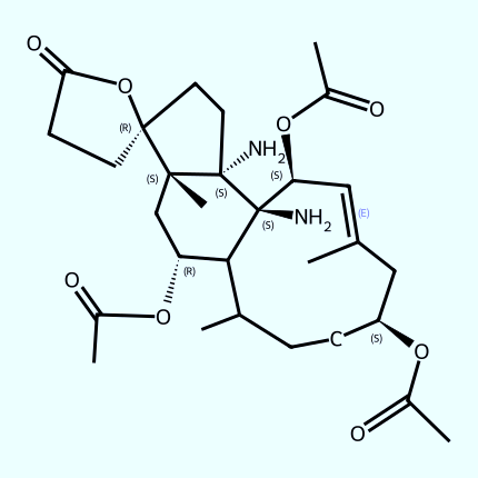 CC(=O)O[C@H]1CCC(C)C2[C@H](OC(C)=O)C[C@]3(C)[C@]4(CCC(=O)O4)CC[C@@]3(N)[C@]2(N)[C@@H](OC(C)=O)/C=C(\C)C1